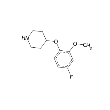 COc1cc(F)ccc1OC1CCNCC1